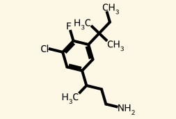 CCC(C)(C)c1cc(C(C)CCN)cc(Cl)c1F